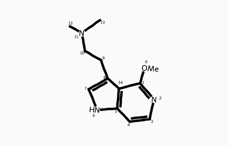 COc1nccc2[nH]cc(CCN(C)C)c12